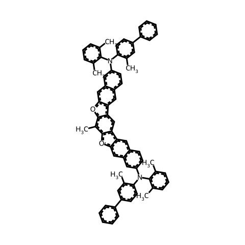 Cc1cc(-c2ccccc2)ccc1N(c1ccc2cc3c(cc2c1)oc1c(C)c2oc4cc5cc(N(c6ccc(-c7ccccc7)cc6C)c6c(C)cccc6C)ccc5cc4c2cc13)c1c(C)cccc1C